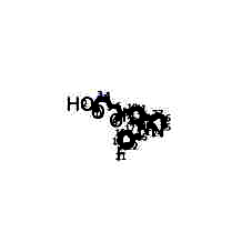 O=C(O)/C=C\CCC(=O)N1CCc2c(n(Cc3cccc(F)c3)c3ncccc23)C1